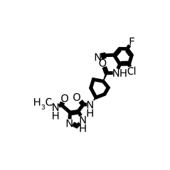 CNC(=O)c1nc[nH]c1C(=O)N[C@H]1CC[C@H](C(=O)Nc2c(Cl)cc(F)cc2C#N)CC1